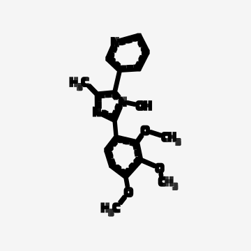 COc1ccc(-c2nc(C)c(-c3cccnc3)n2O)c(OC)c1OC